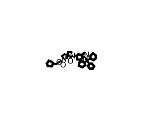 O=C(OCc1ccccc1)N1CC[C@]2(CCN(c3ccc4c(cnn4C(c4ccccc4)(c4ccccc4)c4ccccc4)c3)C2=O)C1